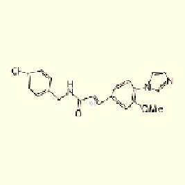 COc1cc(/C=C/C(=O)NCc2ccc(Cl)cc2)ccc1-n1ccnc1